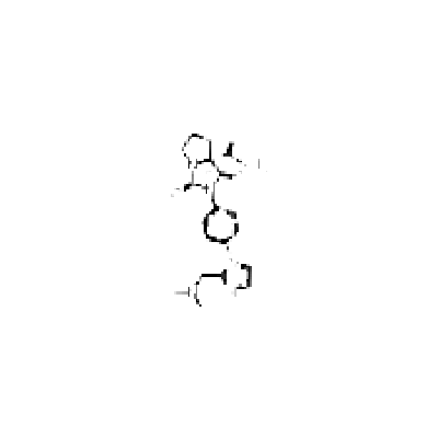 CN(C)Cc1nccn1-c1ccc(N2C(=O)N3CC[CH][C@]3(C(N)=O)C2=O)cc1